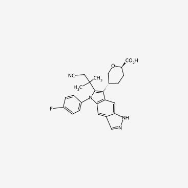 CC(C)(CC#N)c1c([C@H]2CC[C@H](C(=O)O)OC2)c2cc3[nH]ncc3cc2n1-c1ccc(F)cc1